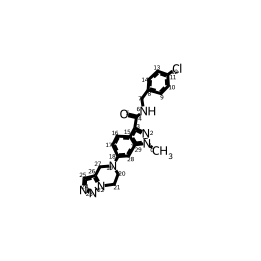 Cn1nc(C(=O)NCc2ccc(Cl)cc2)c2ccc(N3CCn4nncc4C3)cc21